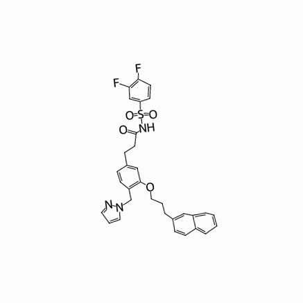 O=C(CCc1ccc(Cn2cccn2)c(OCCCc2ccc3ccccc3c2)c1)NS(=O)(=O)c1ccc(F)c(F)c1